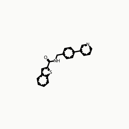 O=C(NCc1ccc(-c2cccnc2)cc1)c1cc2ccccc2s1